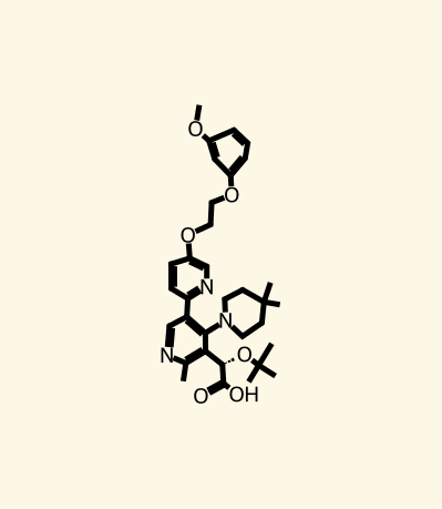 COc1cccc(OCCOc2ccc(-c3cnc(C)c([C@H](OC(C)(C)C)C(=O)O)c3N3CCC(C)(C)CC3)nc2)c1